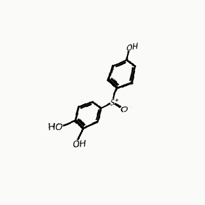 [O-][S+](c1ccc(O)cc1)c1ccc(O)c(O)c1